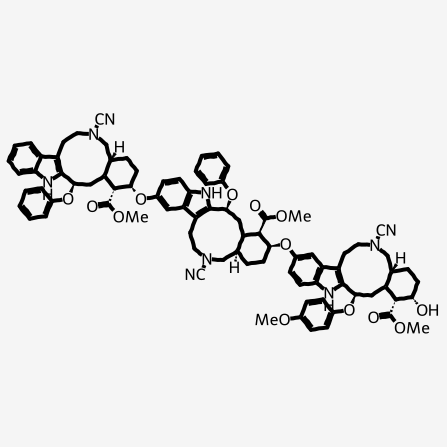 COC(=O)[C@@H]1C2C[C@H](Oc3ccccc3)c3[nH]c4ccc(O[C@H]5CC[C@H]6CN(C#N)CCc7c([nH]c8ccccc78)[C@H](Oc7ccccc7)CC6[C@H]5C(=O)OC)cc4c3CCN(C#N)C[C@@H]2CC[C@@H]1Oc1ccc2[nH]c3c(c2c1)CCN(C#N)C[C@@H]1CC[C@H](O)[C@H](C(=O)OC)C1C[C@H]3Oc1ccc(OC)cc1